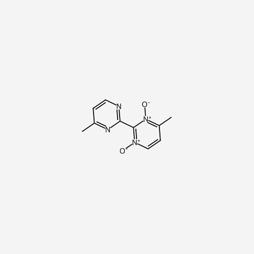 Cc1ccnc(-c2[n+]([O-])ccc(C)[n+]2[O-])n1